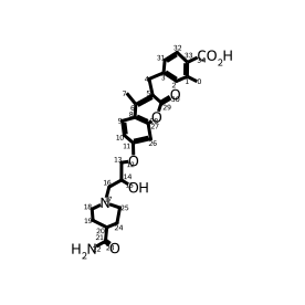 Cc1cc(Cc2c(C)c3ccc(OCC(O)CN4CCC(C(N)=O)CC4)cc3oc2=O)ccc1C(=O)O